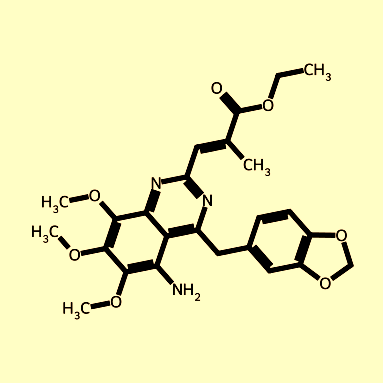 CCOC(=O)/C(C)=C/c1nc(Cc2ccc3c(c2)OCO3)c2c(N)c(OC)c(OC)c(OC)c2n1